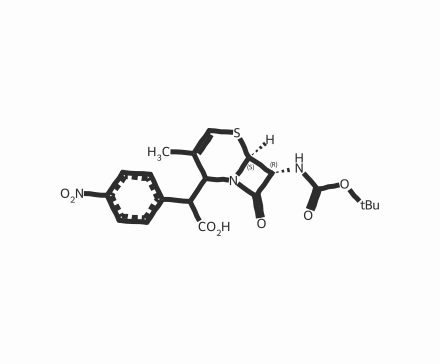 CC1=CS[C@H]2[C@H](NC(=O)OC(C)(C)C)C(=O)N2C1C(C(=O)O)c1ccc([N+](=O)[O-])cc1